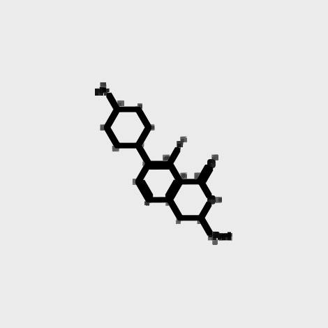 CCCCCC1Cc2ccc(C3CCC(CCC)CC3)c(F)c2C(=O)O1